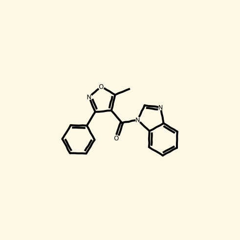 Cc1onc(-c2ccccc2)c1C(=O)n1cnc2ccccc21